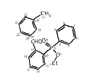 CCOP(=O)(c1ccccc1)c1ccccc1C=O.Cc1ccccc1